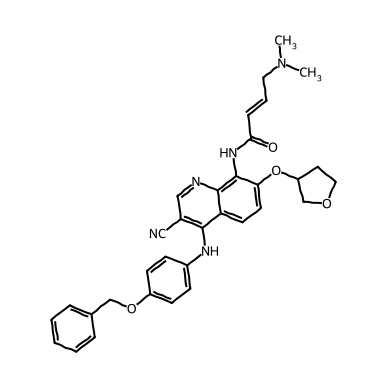 CN(C)C/C=C/C(=O)Nc1c(OC2CCOC2)ccc2c(Nc3ccc(OCc4ccccc4)cc3)c(C#N)cnc12